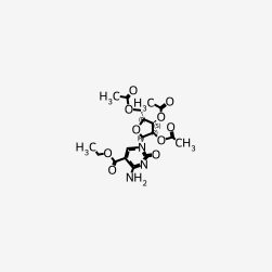 CCOC(=O)c1cn([C@@H]2O[C@H](COC(C)=O)[C@H](OC(C)=O)[C@H]2OC(C)=O)c(=O)nc1N